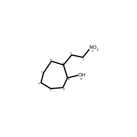 O=[N+]([O-])CCC1CCCCCC1O